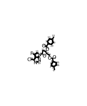 Cc1ccc(C(=O)OCC2OC(n3cc(F)c4c(Cl)ncnc43)CC2OC(=O)c2ccc(C)cc2)cc1